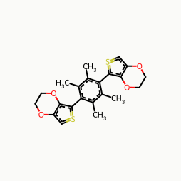 Cc1c(C)c(-c2scc3c2OCCO3)c(C)c(C)c1-c1scc2c1OCCO2